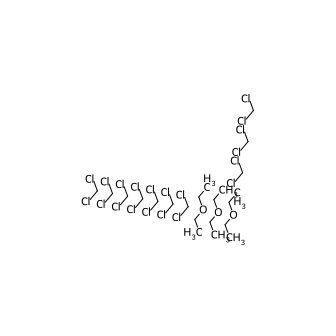 CCOCC.CCOCC.CCOCC.ClCCl.ClCCl.ClCCl.ClCCl.ClCCl.ClCCl.ClCCl.ClCCl.ClCCl.ClCCl